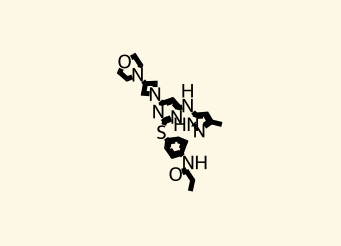 CCC(=O)Nc1ccc(Sc2nc(Nc3cc(C)n[nH]3)cc(N3CC(N4CCOCC4)C3)n2)cc1